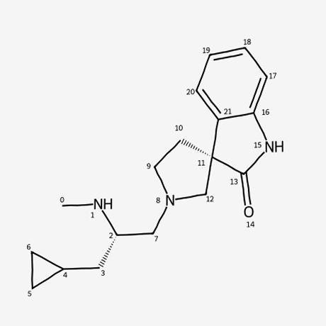 CN[C@@H](CC1CC1)CN1CC[C@@]2(C1)C(=O)Nc1ccccc12